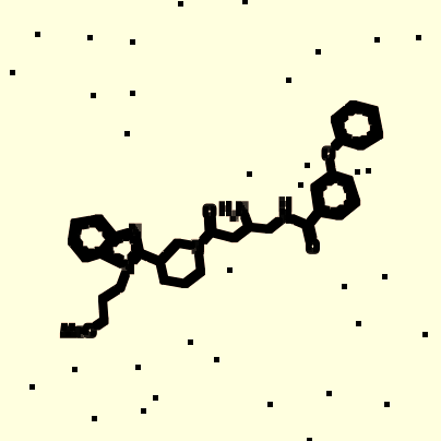 COCCCn1c(C2CCCN(C(=O)CC(N)CNC(=O)c3cccc(Oc4ccccc4)c3)C2)nc2ccccc21